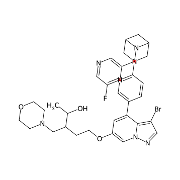 CC(O)C(CCOc1cc(-c2ccc(N3CC4CC(C3)N4Cc3cncc(F)c3)nc2)c2c(Br)cnn2c1)CN1CCOCC1